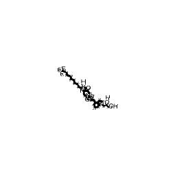 O=C1NC(CCCCCCCCC(F)(F)F)=NC12CCN(S(=O)(=O)C=Cc1cccc3c1ccn3C[C@H](O)CO)CC2